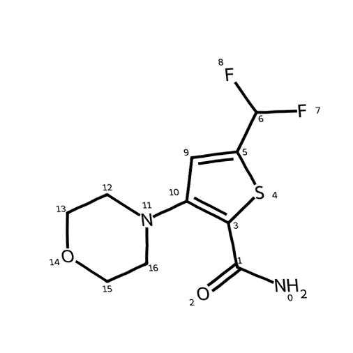 NC(=O)c1sc(C(F)F)cc1N1CCOCC1